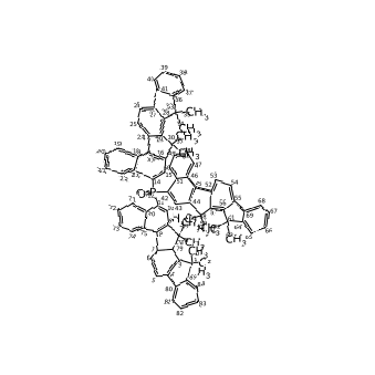 CC1(C)C2=C(C=CC3c4c(cc(P(=O)(c5cc6c(c7ccccc57)-c5ccc7c(c5C6(C)C)C(C)(C)c5ccccc5-7)c5cc6c(c7ccccc57)-c5ccc7c(c5C6(C)C)C(C)(C)c5ccccc5-7)c5ccccc45)C(C)(C)C23)c2ccccc21